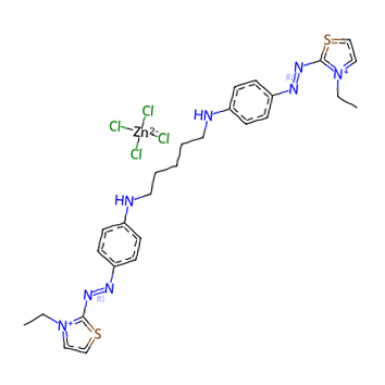 CC[n+]1ccsc1/N=N/c1ccc(NCCCCCNc2ccc(/N=N/c3scc[n+]3CC)cc2)cc1.[Cl][Zn-2]([Cl])([Cl])[Cl]